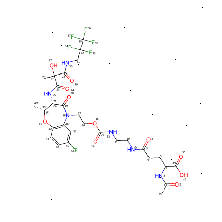 CC(=O)NC(CCC(=O)NCCNC(=O)OCCN1C(=O)[C@@H](NC(=O)C(C)(O)C(=O)NCC(F)(F)C(F)(F)F)[C@@H](C)Oc2ccc(F)cc21)C(=O)O